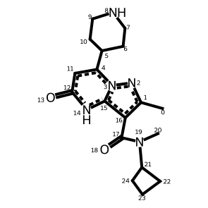 Cc1nn2c(C3CCNCC3)cc(=O)[nH]c2c1C(=O)N(C)C1CCC1